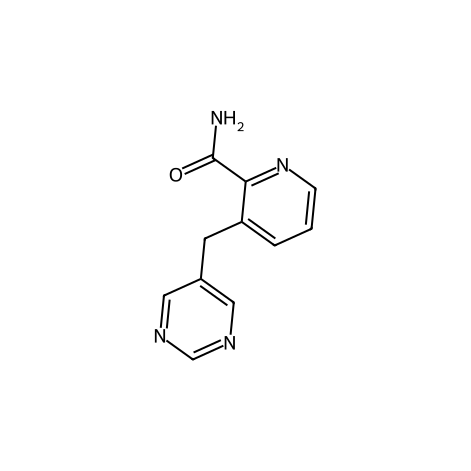 NC(=O)c1ncccc1Cc1cncnc1